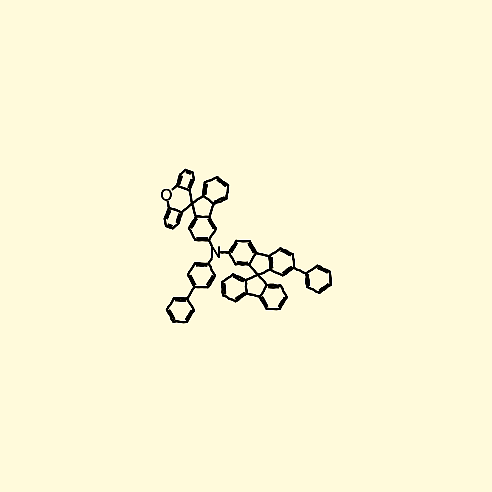 c1ccc(-c2ccc(N(c3ccc4c(c3)-c3ccccc3C43c4ccccc4Oc4ccccc43)c3ccc4c(c3)C3(c5ccccc5-c5ccccc53)c3cc(-c5ccccc5)ccc3-4)cc2)cc1